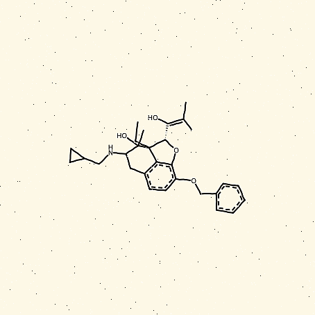 CCC12c3c(ccc(OCc4ccccc4)c3O[C@H]1C(O)=C(C)C)CC(NCC1CC1)C2(C)O